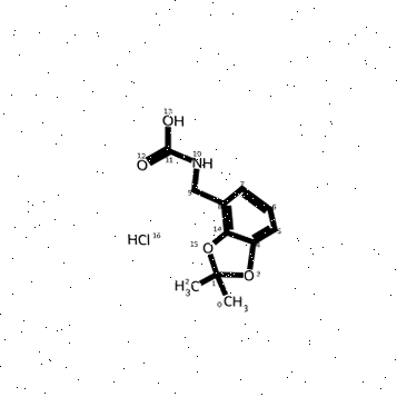 CC1(C)Oc2cccc(CNC(=O)O)c2O1.Cl